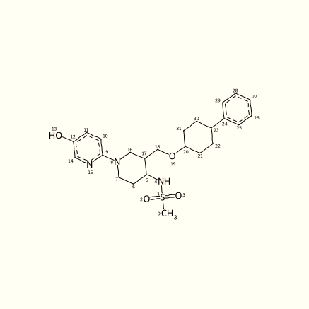 CS(=O)(=O)NC1CCN(c2ccc(O)cn2)CC1COC1CCC(c2ccccc2)CC1